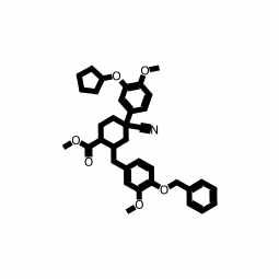 COC(=O)C1CCC(C#N)(c2ccc(OC)c(OC3CCCC3)c2)CC1Cc1ccc(OCc2ccccc2)c(OC)c1